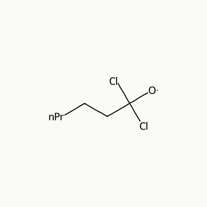 CCCCCC([O])(Cl)Cl